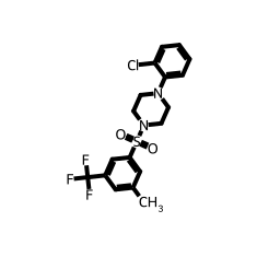 Cc1cc(C(F)(F)F)cc(S(=O)(=O)N2CCN(c3ccccc3Cl)CC2)c1